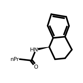 CCCC(=O)N[C@@H]1CCCc2ccccc21